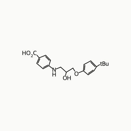 CC(C)(C)c1ccc(OCC(O)CNc2ccc(C(=O)O)cc2)cc1